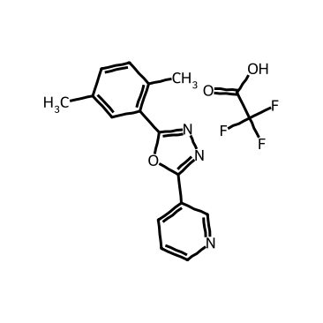 Cc1ccc(C)c(-c2nnc(-c3cccnc3)o2)c1.O=C(O)C(F)(F)F